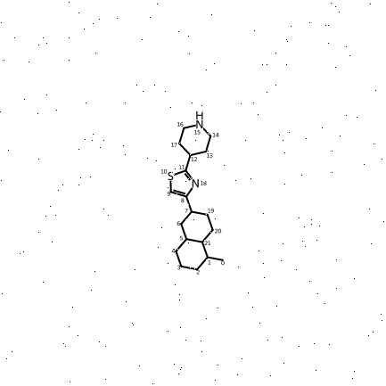 CC1CCCC2CC(c3csc(C4CCNCC4)n3)CCC12